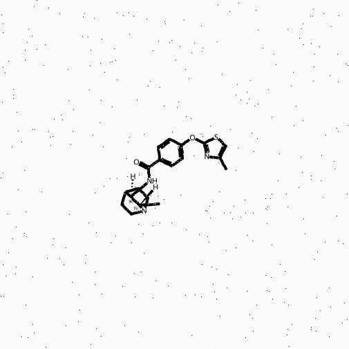 Cc1csc(Oc2ccc(C(=O)N[C@@H]3C4CCN(CC4)[C@H]3C)cc2)n1